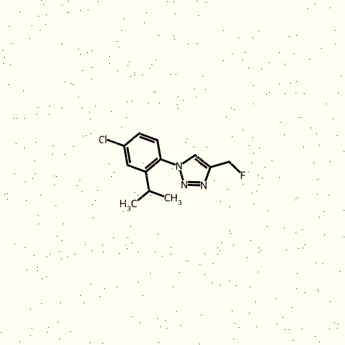 CC(C)c1cc(Cl)ccc1-n1cc(CF)nn1